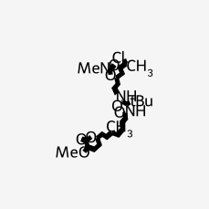 CNC(=O)OC(C/C=C\NC(=O)C(NC(=O)/C=C/C=C\C(C)=C\CC1CC=C(OC)C(=O)O1)C(C)(C)C)C/C=C(\C)Cl